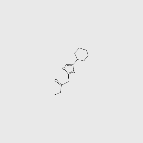 CCC(=O)Cc1nc(C2CCCCC2)co1